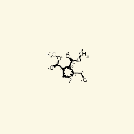 COC(=O)c1csc(CCl)c1C(=O)OC